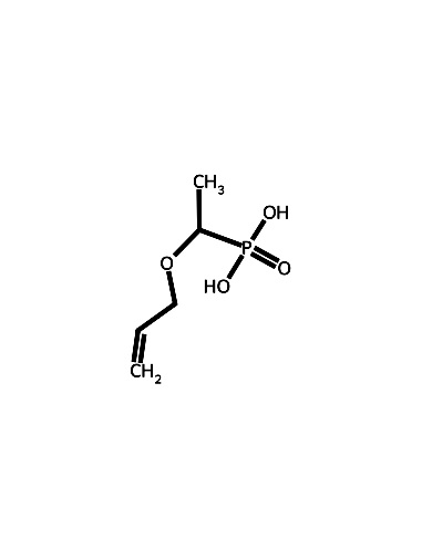 C=CCOC(C)P(=O)(O)O